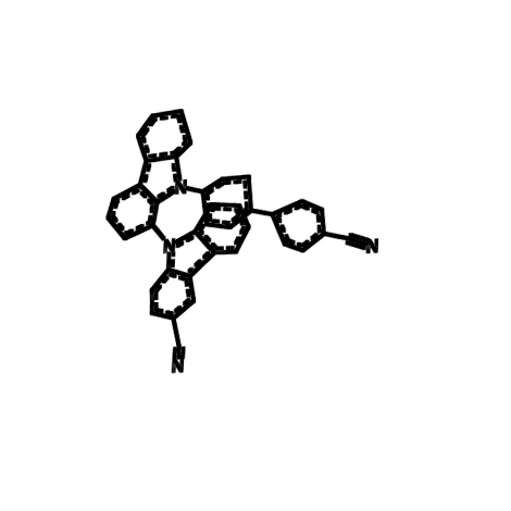 N#Cc1ccc(-c2ccc(-n3c4ccccc4c4cccc(-n5c6ccccc6c6cc(C#N)ccc65)c43)cc2)cc1